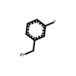 CC(C)Cc1[c]ccc(F)c1